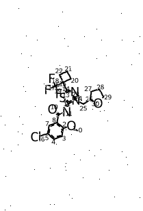 COc1ccc(Cl)cc1C(=O)/N=c1\sc(C2(C(F)(F)F)CCC2)nn1C[C@H]1CCCO1